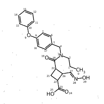 CCCN(Cc1ccc(Oc2ccccc2)cc1)C(=O)C1CC(C(=O)O)C1C=NO